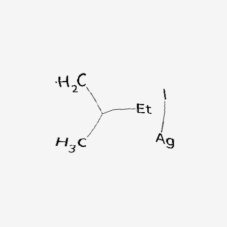 [Ag][I].[CH2]C(C)CC